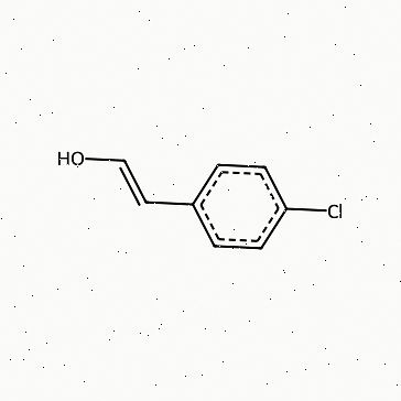 OC=Cc1ccc(Cl)cc1